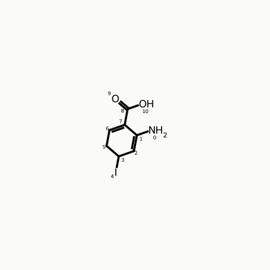 NC1=CC(I)CC=C1C(=O)O